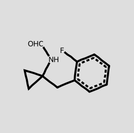 O=CNC1(Cc2ccccc2F)CC1